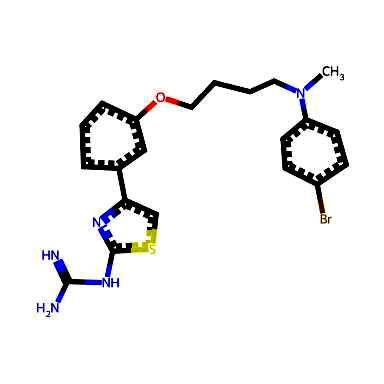 CN(CCCCOc1cccc(-c2csc(NC(=N)N)n2)c1)c1ccc(Br)cc1